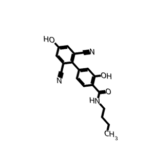 CCCCNC(=O)c1ccc(-c2c(C#N)cc(O)cc2C#N)cc1O